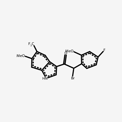 COc1cc(F)ccc1C(Br)C(=O)c1c[nH]c2cc(OC)c(C(F)(F)F)cc12